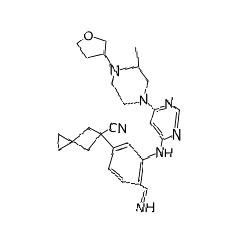 CC1CN(c2cc(Nc3cc(C4(C#N)CC5(CC5)C4)ccc3C=N)ncn2)CCN1C1CCOC1